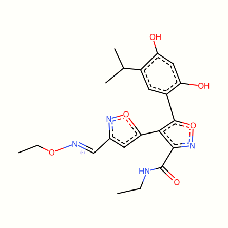 CCNC(=O)c1noc(-c2cc(C(C)C)c(O)cc2O)c1-c1cc(/C=N/OCC)no1